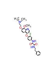 CCN(CC)CCOc1ccc2c(Oc3ccc(NC(=O)C(=O)NCCc4ccccc4)cc3F)ccnc2c1OC